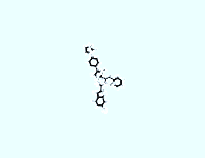 Cn1c(-c2ccc(-n3ccnc3)cc2)cnc1C(Cc1ccccn1)NC(=O)c1cc2ccc(Cl)cc2o1